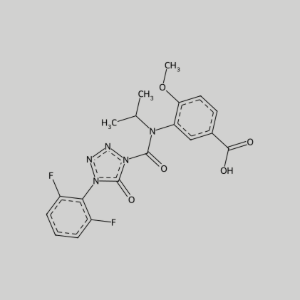 COc1ccc(C(=O)O)cc1N(C(=O)n1nnn(-c2c(F)cccc2F)c1=O)C(C)C